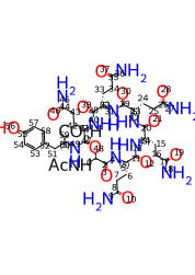 CC(=O)NCC(=O)N[C@@H](CCC(N)=O)C(=O)N[C@@H](CCC(N)=O)C(=O)N[C@@H](CCC(N)=O)C(=O)N[C@@H](CCC(N)=O)C(=O)N[C@@H](CCC(N)=O)C(=O)N[C@@H](Cc1ccc(O)cc1)C(=O)O